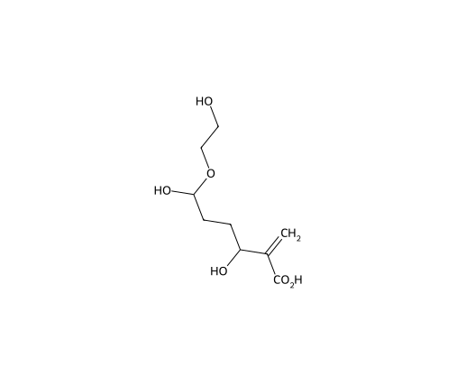 C=C(C(=O)O)C(O)CCC(O)OCCO